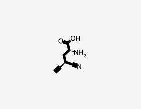 C#C[C@H](C#N)C[C@@H](N)C(=O)O